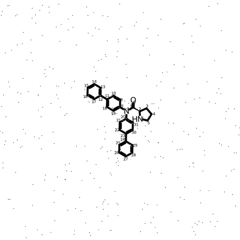 O=C([C@H]1CCCN1)N(c1ccc(-c2ccccc2)cc1)c1ccc(-c2ccccc2)cc1